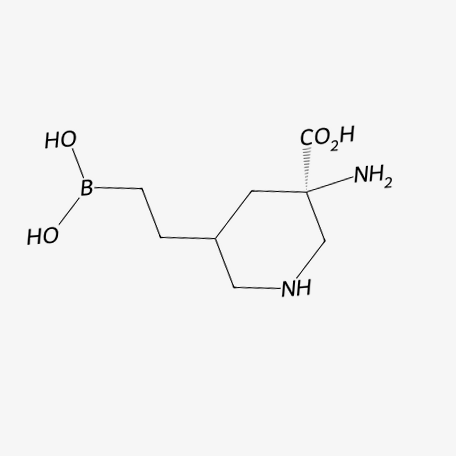 N[C@@]1(C(=O)O)CNCC(CCB(O)O)C1